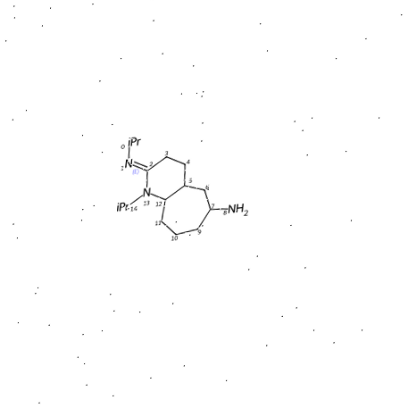 CC(C)/N=C1\CCC2CC(N)CCCC2N1C(C)C